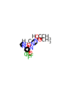 C[C@@H]1CN(C(=O)OC(C)(C)C)CCN1c1nc2c(OC(F)(F)F)c(Cl)cc(-n3cccn3)c2o1